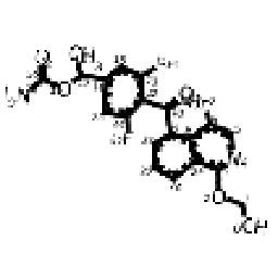 CCOc1ncc(Br)c2c(C(=O)c3c(F)cc(C(C)OC(N)=O)cc3F)cccc12